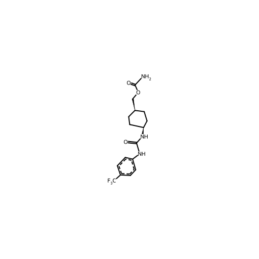 NC(=O)OC[C@H]1CC[C@@H](NC(=O)Nc2ccc(C(F)(F)F)cc2)CC1